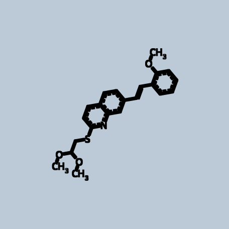 COc1ccccc1/C=C/c1ccc2ccc(SCC(OC)OC)nc2c1